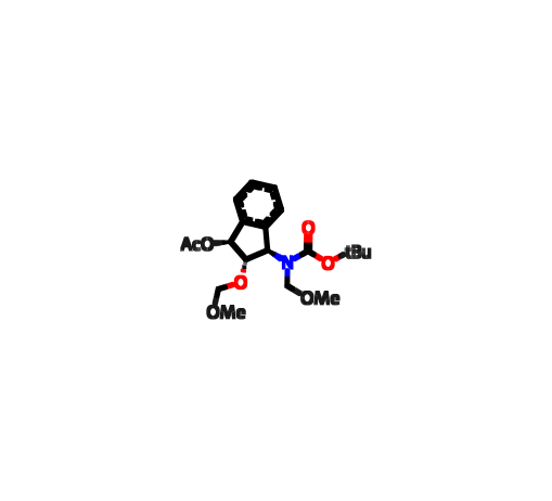 COCO[C@H]1[C@H](N(COC)C(=O)OC(C)(C)C)c2ccccc2[C@@H]1OC(C)=O